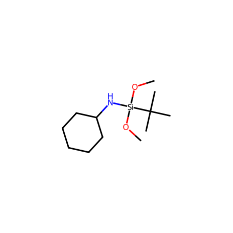 CO[Si](NC1CCCCC1)(OC)C(C)(C)C